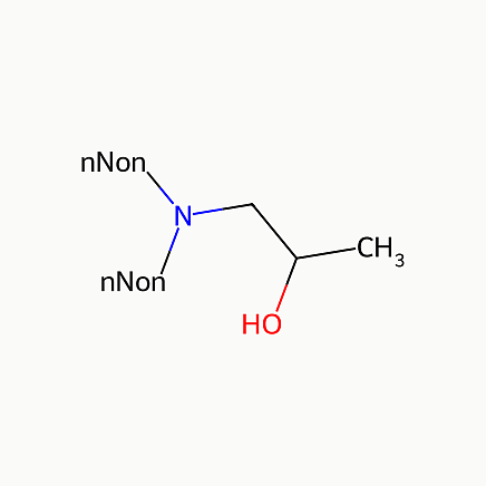 CCCCCCCCCN(CCCCCCCCC)CC(C)O